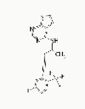 CC(CC#Cc1cc(F)ccc1C(F)(F)F)Nc1ncnc2sccc12